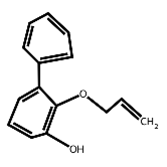 C=CCOc1c(O)cccc1-c1ccccc1